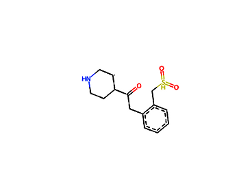 O=C(Cc1ccccc1C[SH](=O)=O)C1[CH]CNCC1